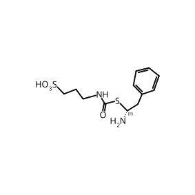 N[C@@H](Cc1ccccc1)SC(=O)NCCCS(=O)(=O)O